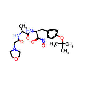 C[C@H](NC(=O)CN1CCOCC1)C(=O)N[C@@H](Cc1ccc(OC(C)(C)C)cc1)C(=O)N=O